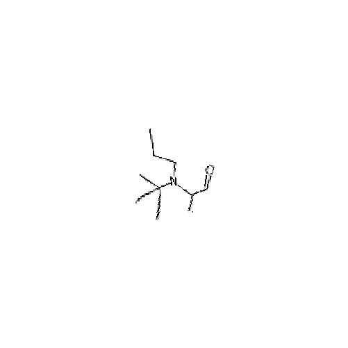 [CH2]C(C=O)N(CCC)C(C)(C)C